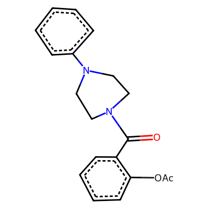 CC(=O)Oc1ccccc1C(=O)N1CCN(c2ccccc2)CC1